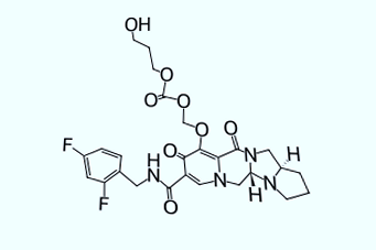 O=C(OCCCO)OCOc1c2n(cc(C(=O)NCc3ccc(F)cc3F)c1=O)C[C@@H]1N(C[C@H]3CCCN31)C2=O